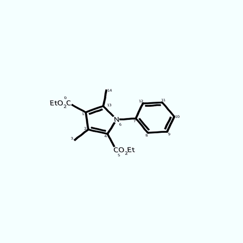 CCOC(=O)c1c(C)c(C(=O)OCC)n(-c2ccccc2)c1C